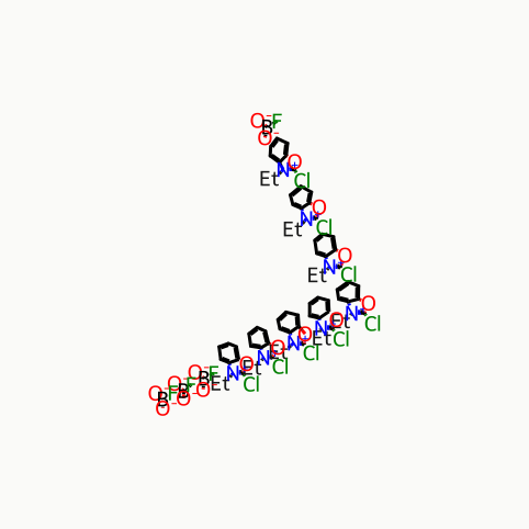 CC[n+]1c(Cl)oc2ccccc21.CC[n+]1c(Cl)oc2ccccc21.CC[n+]1c(Cl)oc2ccccc21.CC[n+]1c(Cl)oc2ccccc21.CC[n+]1c(Cl)oc2ccccc21.CC[n+]1c(Cl)oc2ccccc21.CC[n+]1c(Cl)oc2ccccc21.CC[n+]1c(Cl)oc2ccccc21.[O-]B([O-])F.[O-]B([O-])F.[O-]B([O-])F.[O-]B([O-])F